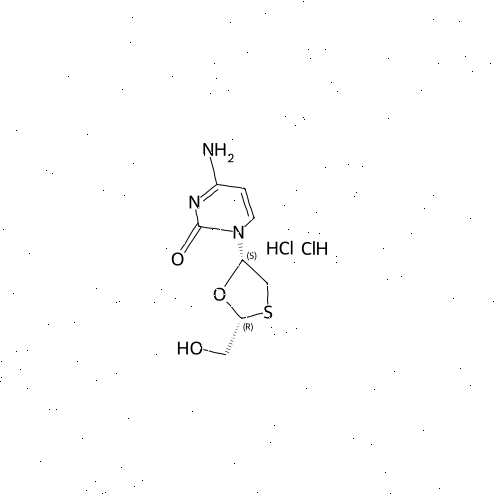 Cl.Cl.Nc1ccn([C@@H]2CS[C@H](CO)O2)c(=O)n1